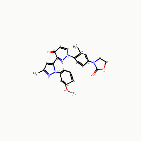 Cc1cc(-c2nn(-c3ccc(N4CCOC4=O)cc3C)ccc2=O)n(-c2cccc(OC(F)(F)F)c2)n1